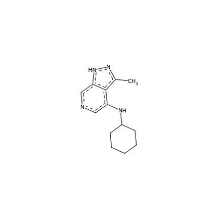 Cc1n[nH]c2cncc(NC3CCCCC3)c12